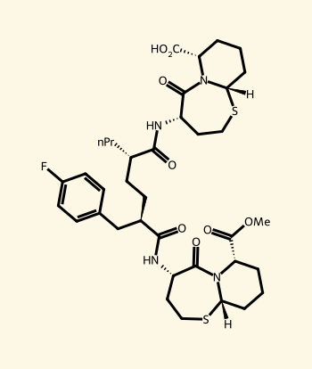 CCC[C@@H](CC[C@H](Cc1ccc(F)cc1)C(=O)N[C@H]1CCS[C@H]2CCC[C@@H](C(=O)OC)N2C1=O)C(=O)N[C@H]1CCS[C@H]2CCC[C@@H](C(=O)O)N2C1=O